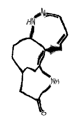 O=C1CC2CCC3NN=CC=CC3=C2N1